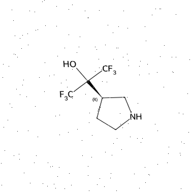 OC([C@@H]1CCNC1)(C(F)(F)F)C(F)(F)F